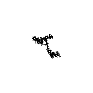 Cc1ncsc1-c1ccc(CNC(=O)[C@@H]2C[C@@H](O)CN2C(=O)[C@H](C(C)C)N2Cc3ccccc3C2=O)c(OCCCOCCCOc2ccc(N3C(=S)N(c4ccc(C#N)c(C(F)(F)F)c4)C(=O)C3(C)C)cc2)c1